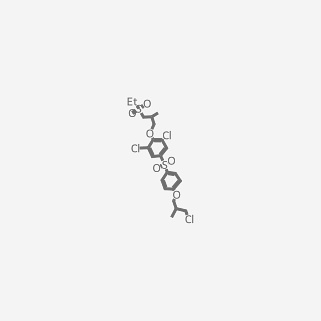 CCS(=O)(=O)CC(C)COc1c(Cl)cc(S(=O)(=O)c2ccc(OCC(C)CCl)cc2)cc1Cl